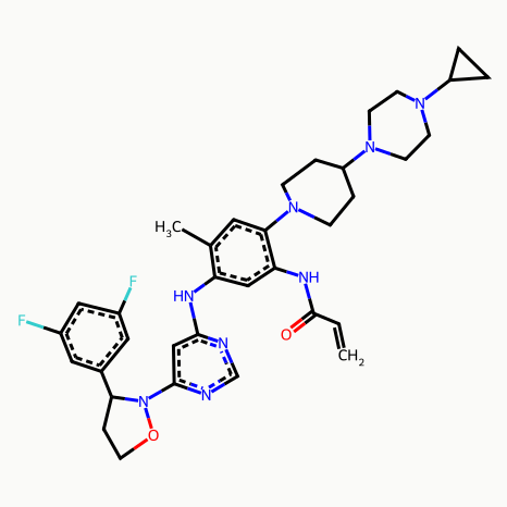 C=CC(=O)Nc1cc(Nc2cc(N3OCCC3c3cc(F)cc(F)c3)ncn2)c(C)cc1N1CCC(N2CCN(C3CC3)CC2)CC1